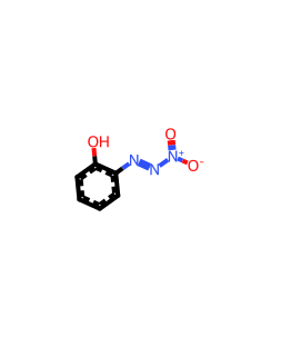 O=[N+]([O-])N=Nc1ccccc1O